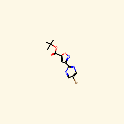 CC(C)(C)OC(=O)c1cc(-c2ncc(Br)cn2)no1